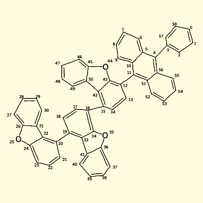 c1ccc(-c2c3ccccc3c(-c3ccc(-c4ccc(-c5cccc6oc7ccccc7c56)c5c4oc4ccccc45)c4c3oc3ccccc34)c3ccccc23)cc1